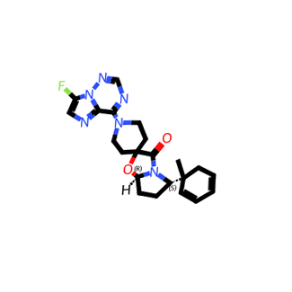 CC1([C@@H]2CC[C@H]3OC4(CCN(c5ncnn6c(F)cnc56)CC4)C(=O)N23)C=CC=CC1